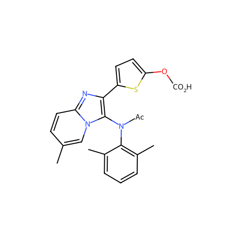 CC(=O)N(c1c(C)cccc1C)c1c(-c2ccc(OC(=O)O)s2)nc2ccc(C)cn12